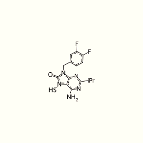 CC(C)c1nc(N)c2c(n1)n(Cc1ccc(F)c(F)c1)c(=O)n2S